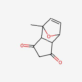 CC12C=CC(O1)C1C(=O)CC(=O)C12